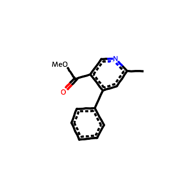 COC(=O)c1cnc(C)cc1-c1ccccc1